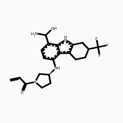 C=CC(=O)N1CC[C@H](Nc2ccc(C(N)O)c3[nH]c4c(c23)CCC(C(F)(F)F)C4)C1